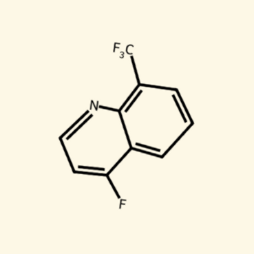 Fc1ccnc2c(C(F)(F)F)cccc12